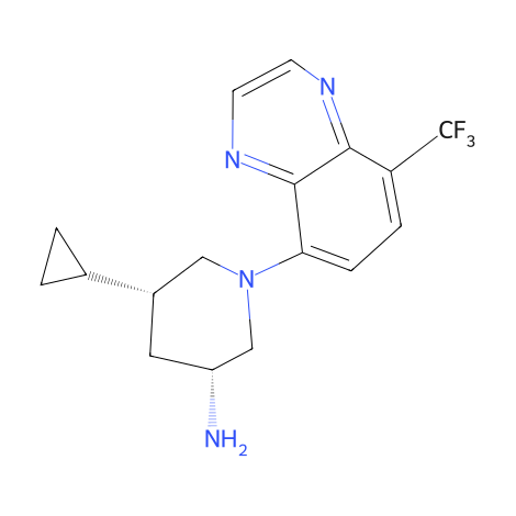 N[C@@H]1C[C@H](C2CC2)CN(c2ccc(C(F)(F)F)c3nccnc23)C1